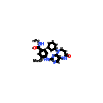 CCCNC(=O)c1ccc(Nc2ncc3c(n2)N(C2CCCCC2)CCC(=O)N3)c(OC)c1